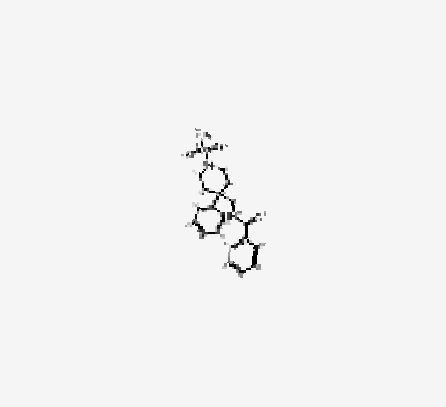 CCCS(=O)(=O)N1CCC(CNC(=O)c2ccccc2)(c2ccccc2)CC1